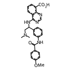 COc1ccc(C(=O)Nc2cccc(C(CN(C)C)Nc3ncnc4c(C(=O)O)cccc34)c2)cc1